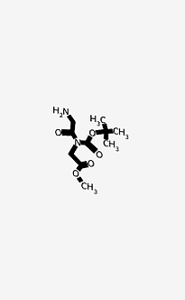 COC(=O)CN(C(=O)CN)C(=O)OC(C)(C)C